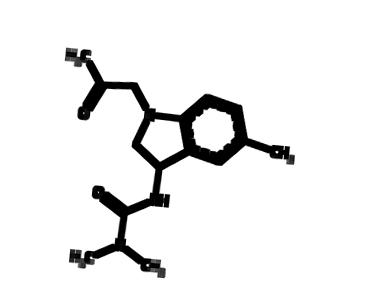 CC(=O)CN1CC(NC(=O)N(C)C)c2cc(C)ccc21